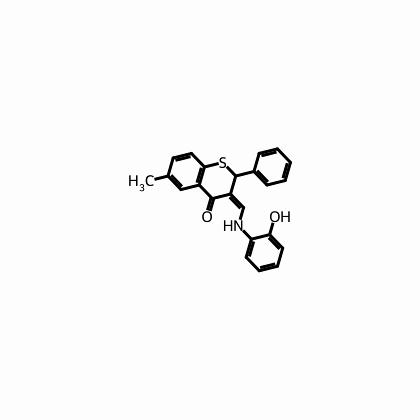 Cc1ccc2c(c1)C(=O)C(=CNc1ccccc1O)C(c1ccccc1)S2